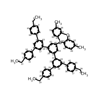 CCc1ccc(-c2cc(-c3ccc(CC)cc3)cc(-c3cc(-c4cc(-c5ccc(CC)cc5)cc(-c5ccc(CC)cc5)c4)cc(N4c5ccc(C)cc5Oc5cc(C)ccc54)c3)c2)cc1